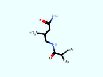 CCCC(CCC)C(=O)NCC(CC([NH])=O)S(=O)(=O)O